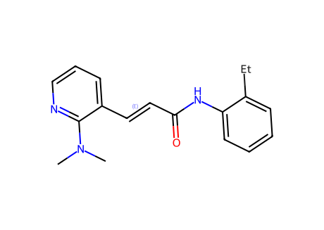 CCc1ccccc1NC(=O)/C=C/c1cccnc1N(C)C